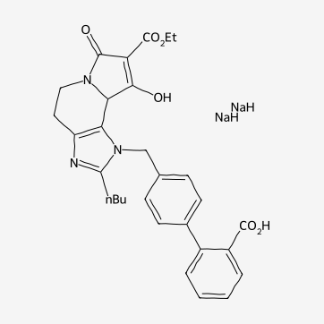 CCCCc1nc2c(n1Cc1ccc(-c3ccccc3C(=O)O)cc1)C1C(O)=C(C(=O)OCC)C(=O)N1CC2.[NaH].[NaH]